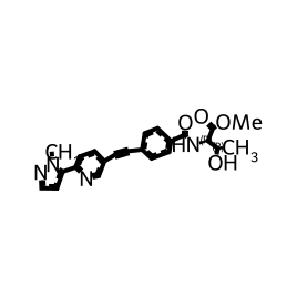 COC(=O)[C@H](NC(=O)c1ccc(C#Cc2ccc(-c3ccnn3C)nc2)cc1)[C@@H](C)O